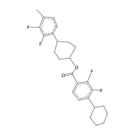 Cc1ccc(C2CCC(OC(=O)c3ccc(C4CCCCC4)c(F)c3F)CC2)c(F)c1F